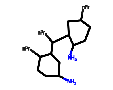 CCCC1CCC(N)C(C(CCC)C2CC(N)CCC2CCC)C1